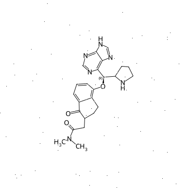 CN(C)C(=O)CC1CCc2c(O[C@@H](c3ncnc4[nH]cnc34)C3CCCN3)cccc2C1=O